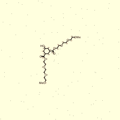 COCCOCCOCCOC(=O)C1CC(O)CC(C(=O)OCCOCCOCCOC)C1